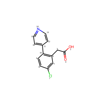 O=C(O)Cc1cc(Cl)ccc1-c1ccncc1